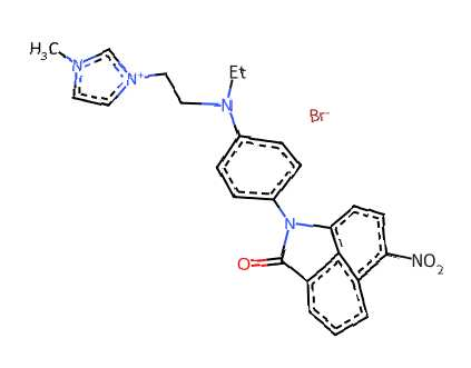 CCN(CC[n+]1ccn(C)c1)c1ccc(N2C(=O)c3cccc4c([N+](=O)[O-])ccc2c34)cc1.[Br-]